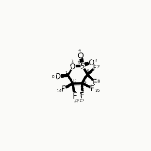 O=C1OS(=O)(=O)C(F)(F)C(F)(F)C1(F)F